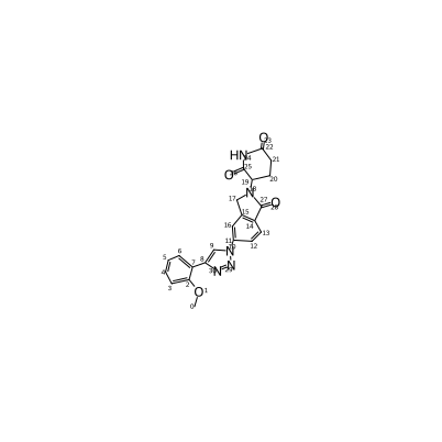 COc1ccccc1-c1cn(-c2ccc3c(c2)CN(C2CCC(=O)NC2=O)C3=O)nn1